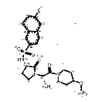 COC1CCN(C(=O)[C@H](C)N2CC[C@H](NS(=O)(=O)c3ccc4cc(Cl)ccc4c3)C2=O)CC1